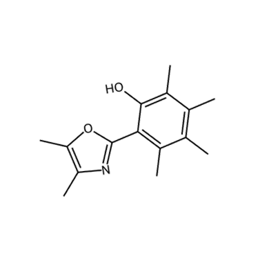 Cc1nc(-c2c(C)c(C)c(C)c(C)c2O)oc1C